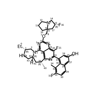 CC[C@@H]1CN2c3nc(OC[C@@]45CCCN4C[C@H](F)C5)nc4c(F)c(-c5cc(O)cc6ccc(F)c(C)c56)nc(c34)[C@H](C)C[C@@H]2CN1